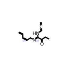 C=C=CN/C(=N\C/C=C\C=C)C(=O)CC